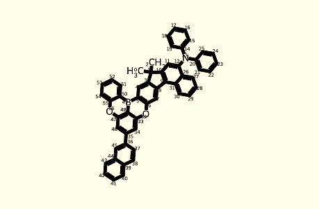 CC1(C)c2cc3c(cc2-c2c1cc(N(c1ccccc1)c1ccccc1)c1ccccc21)Oc1cc(-c2ccc4ccccc4c2)cc2c1B3c1ccccc1O2